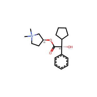 C[N+]1(C)CC[C@H](OC(=O)[C@](O)(c2ccccc2)C2CCCC2)C1